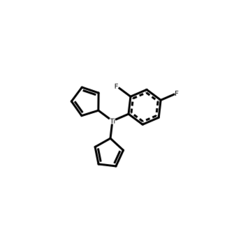 Fc1cc[c]([Ti]([CH]2C=CC=C2)[CH]2C=CC=C2)c(F)c1